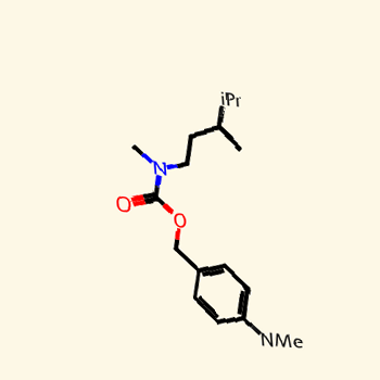 CNc1ccc(COC(=O)N(C)CCC(C)C(C)C)cc1